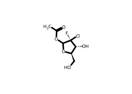 CC(=O)OC1O[C@H](CO)[C@@H](O)[C@]1(F)Cl